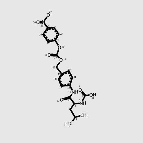 CC(C)CC(NC(=O)O)C(=O)Nc1ccc(COC(=O)Oc2ccc([N+](=O)[O-])cc2)cc1